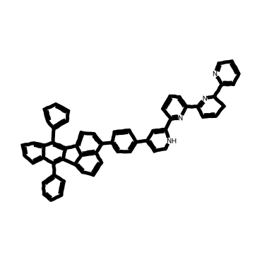 C1=CC(c2cccc(C3=CC(c4ccc(-c5ccc6c7c(cccc57)-c5c-6c(-c6ccccc6)c6ccccc6c5-c5ccccc5)cc4)=CCN3)n2)=NC(c2ccccn2)C1